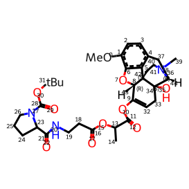 COc1ccc2c3c1O[C@H]1C(OC(=O)C(C)OC(=O)CCNC(=O)C4CCCN4C(=O)OC(C)(C)C)=CC[C@@]4(O)[C@@H](C2)N(C)CC[C@]314